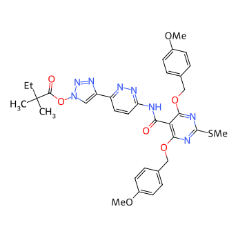 CCC(C)(C)C(=O)On1cc(-c2ccc(NC(=O)c3c(OCc4ccc(OC)cc4)nc(SC)nc3OCc3ccc(OC)cc3)nn2)nn1